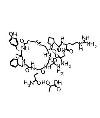 CC(O)C(=O)O.N=C(N)NCCC[C@H](NC(=O)[C@@H]1CCCN1C(=O)[C@@H]1CSSCCC(=O)N[C@@H](Cc2ccc(O)cc2)C(=O)N[C@@H](Cc2ccccc2)C(=O)N[C@@H](CCC(N)=O)C(=O)N[C@@H](CC(N)=O)C(=O)N1)C(=O)NCC(N)=O